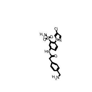 NCc1ccc(CC(=O)Nc2ccc(-n3cc(Cl)cn3)c(S(N)(=O)=O)c2)cc1